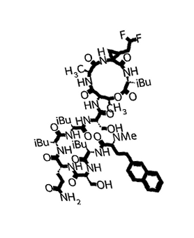 CC[C@H](C)[C@H](NC(=O)[C@@H](CCc1ccc2ccccc2c1)NC)C(=O)N[C@@H](CO)C(=O)N[C@H](CCC(N)=O)C(=O)N[C@@H](C(=O)N[C@H](C(=O)N[C@@H](CO)C(=O)N[C@H]1C(=O)N[C@@H](C)C(=O)NC2(CC2CC(F)F)C(=O)N[C@@H]([C@@H](C)CC)C(=O)O[C@H]1C)[C@@H](C)CC)[C@@H](C)CC